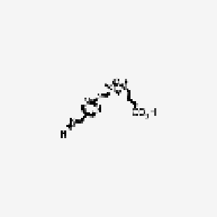 C[Si]1(CCCC(=O)O)C[Si](C)(CSc2ncc(CN=[N+]=[N-])cn2)O1